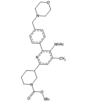 CC(=O)Nc1c(C)cc(C2CCCN(C(=O)OC(C)(C)C)C2)nc1-c1ccc(CN2CCOCC2)cc1